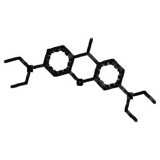 CCN(CC)c1ccc2c(c1)Oc1cc(N(CC)CC)ccc1C2C